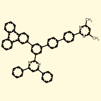 Cc1cc(C)nc(-c2ccc(-c3ccc(-c4cc(-c5ccc6c7ccccc7c7ccccc7c6c5)cc(-c5nc(-c6ccccc6)cc(-c6ccccc6)n5)c4)cc3)cc2)n1